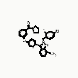 O=C(c1cccc(Oc2ccc(-c3c4cccc(C(F)(F)F)c4nn3Cc3ccc(Cl)cc3F)cc2)c1)N1CCCC1